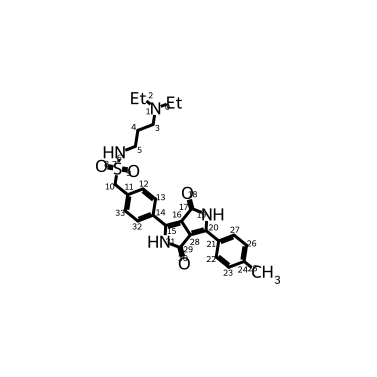 CCN(CC)CCCNS(=O)(=O)Cc1ccc(C2=C3C(=O)NC(c4ccc(C)cc4)=C3C(=O)N2)cc1